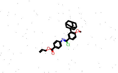 C=CCOC(=O)c1ccc(N=C(Cl)c2ccc(OC)c(C34CC5CC(CC(C5)C3)C4)c2)cc1